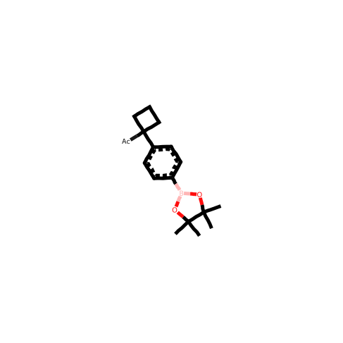 CC(=O)C1(c2ccc(B3OC(C)(C)C(C)(C)O3)cc2)CCC1